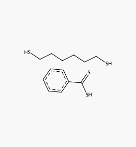 S=C(S)c1ccccc1.SCCCCCCS